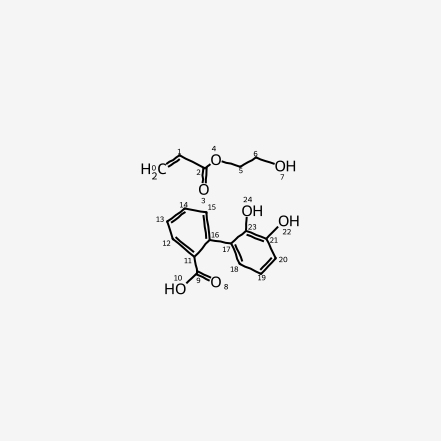 C=CC(=O)OCCO.O=C(O)c1ccccc1-c1cccc(O)c1O